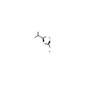 CSc1noc(C(F)F)n1